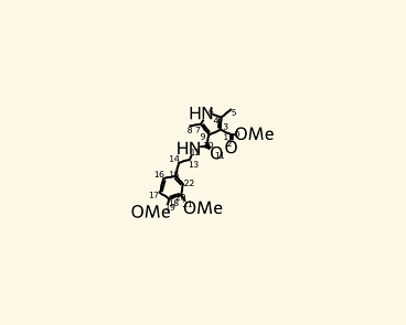 COC(=O)c1c(C)[nH]c(C)c1C(=O)NCCc1ccc(OC)c(OC)c1